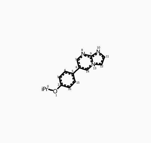 CC(C)Oc1ccc(-c2cnc3nccn3c2)cc1